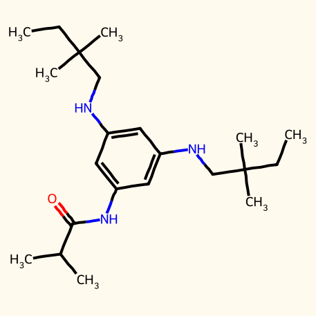 CCC(C)(C)CNc1cc(NCC(C)(C)CC)cc(NC(=O)C(C)C)c1